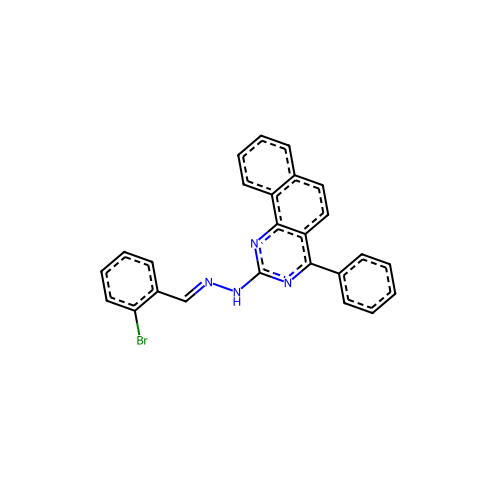 Brc1ccccc1/C=N/Nc1nc(-c2ccccc2)c2ccc3ccccc3c2n1